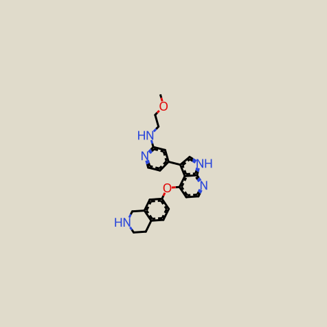 COCCNc1cc(-c2c[nH]c3nccc(Oc4ccc5c(c4)CNCC5)c23)ccn1